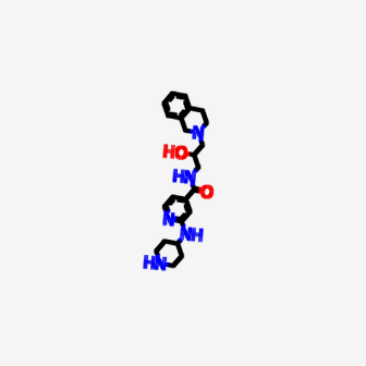 O=C(NCC(O)CN1CCc2ccccc2C1)c1ccnc(NC2CCNCC2)c1